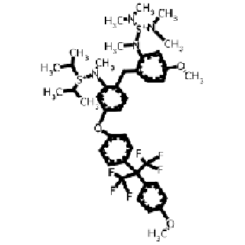 COc1ccc(C(c2ccc(Oc3ccc(Cc4ccc(OC)cc4N(C)[S+](N(C)C)N(C)C)c(N(C)[S+](C(C)C)C(C)C)c3)cc2)(C(F)(F)F)C(F)(F)F)cc1